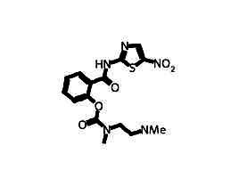 CNCCN(C)C(=O)Oc1ccccc1C(=O)Nc1ncc([N+](=O)[O-])s1